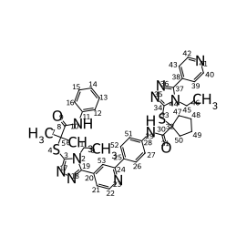 CCn1c(SC(C)(C)C(=O)Nc2ccccc2)nnc1-c1ccnc(-c2ccc(NC(=O)C3(Sc4nnc(-c5ccncc5)n4CC)CCCC3)cc2)c1